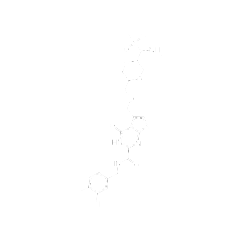 CS(=O)(=O)C(N)C1COC(COCc2csc3nc(C(=O)NCc4ccc(F)c(Cl)c4)[nH]c(=O)c23)CO1